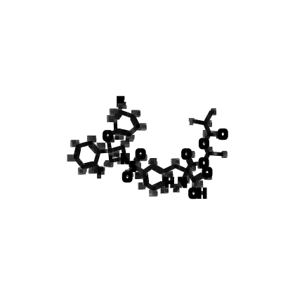 CC(OC(=O)C(C)C)OC(=O)C(N)(Cc1cccc(S(=O)(=O)N2CC(Oc3cccc(F)c3)(c3ccccc3F)C2)c1)C(=O)O